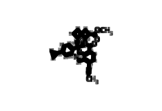 CC#Cc1ccc(C(=O)NC2C(C(=O)OC)CC23CCC3)c2c1cnn2C1(c2ccc(C3CC3)cc2)COC1